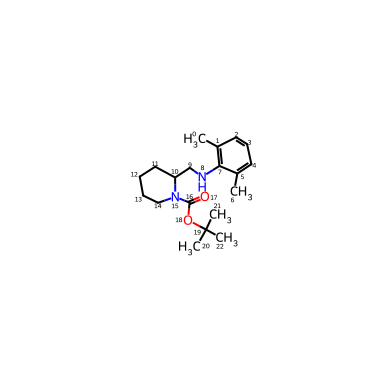 Cc1cccc(C)c1NCC1CCCCN1C(=O)OC(C)(C)C